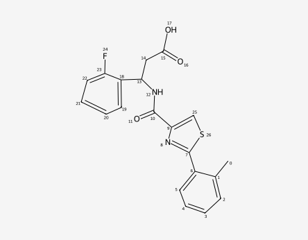 Cc1ccccc1-c1nc(C(=O)NC(CC(=O)O)c2ccccc2F)cs1